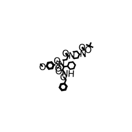 COc1ccc(S(=O)(=O)N(CCC(=O)N2CCC(N(C)C(=O)OC(C)(C)C)CC2)C(C(=O)NOCc2ccccc2)C2CCCCC2)cc1